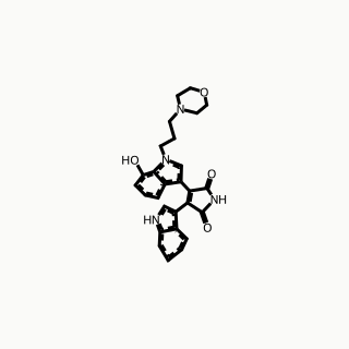 O=C1NC(=O)C(c2cn(CCCN3CCOCC3)c3c(O)cccc23)=C1c1c[nH]c2ccccc12